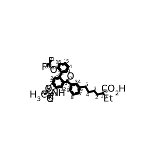 CCC(CCCCc1cccc(C2Oc3cccc(OC(F)F)c3-c3ccc(NS(C)(=O)=O)cc32)c1)C(=O)O